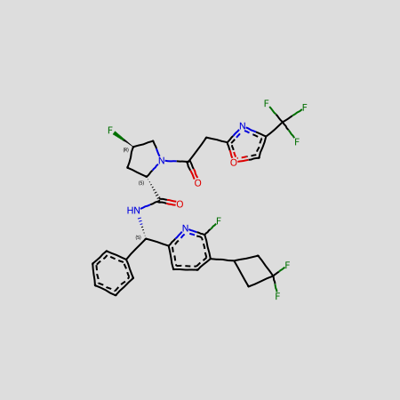 O=C(N[C@@H](c1ccccc1)c1ccc(C2CC(F)(F)C2)c(F)n1)[C@@H]1C[C@@H](F)CN1C(=O)Cc1nc(C(F)(F)F)co1